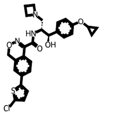 O=C(N[C@H](CN1CCC1)[C@H](O)c1ccc(OC2CC2)cc1)C1=NOCc2cc(-c3ccc(Cl)s3)ccc21